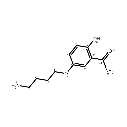 NCCCCOc1ccc(O)c(C(N)=O)c1